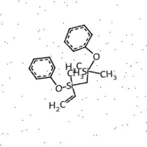 C=C[Si](C)(C[Si](C)(C)Oc1ccccc1)Oc1ccccc1